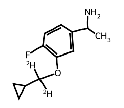 [2H]C([2H])(Oc1cc(C(C)N)ccc1F)C1CC1